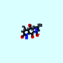 CCC1=C[NH+]([O-])C2C(=O)c3[nH]c(=O)cc(C)c3C(=O)C2=C1